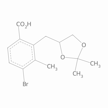 Cc1c(Br)ccc(C(=O)O)c1CC1COC(C)(C)O1